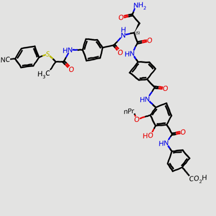 CCCOc1c(NC(=O)c2ccc(NC(=O)[C@H](CC(N)=O)NC(=O)c3ccc(NC(=O)C(C)Sc4ccc(C#N)cc4)cc3)cc2)ccc(C(=O)Nc2ccc(C(=O)O)cc2)c1O